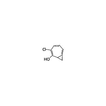 OC1=C(Cl)C=CC=C2CC21